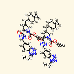 Cn1nnc2cc(CNC(=O)[C@@H]3C[C@@H](CC4=CCC5(CC4)CC5)CN3C(=O)OC(C)(C)C)ccc21.Cn1nnc2cc(CNC(=O)[C@@H]3C[C@@H](CC4CCC5(CC4)CC5)CN3C(=O)OC(C)(C)C)ccc21